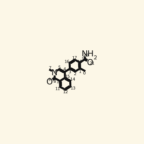 Cc1cc(-c2cn(C)c(=O)c3ccccc23)ccc1C(N)=O